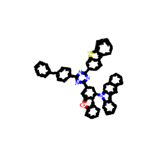 c1ccc(-c2ccc(-c3nc(-c4cc(-n5c6ccccc6c6cc7ccccc7cc65)c5c(c4)oc4ccccc45)nc(-c4ccc5c(c4)sc4ccccc45)n3)cc2)cc1